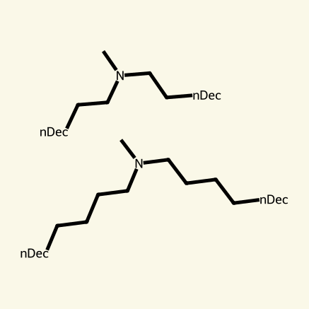 CCCCCCCCCCCCCCN(C)CCCCCCCCCCCCCC.CCCCCCCCCCCCN(C)CCCCCCCCCCCC